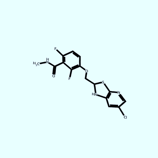 CNC(=O)c1c(F)ccc(OCC2Nc3cc(Cl)cnc3S2)c1F